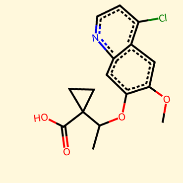 COc1cc2c(Cl)ccnc2cc1OC(C)C1(C(=O)O)CC1